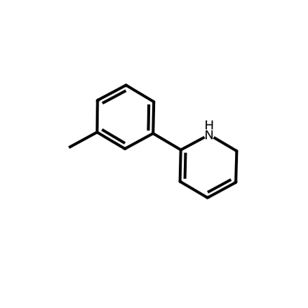 Cc1cccc(C2=CC=CCN2)c1